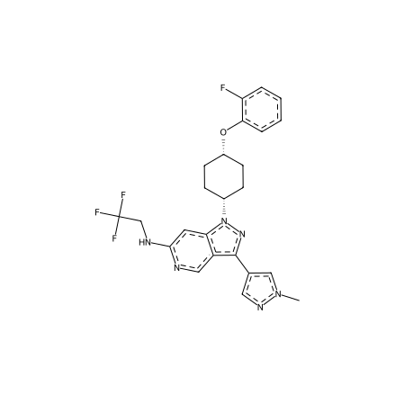 Cn1cc(-c2nn([C@H]3CC[C@@H](Oc4ccccc4F)CC3)c3cc(NCC(F)(F)F)ncc23)cn1